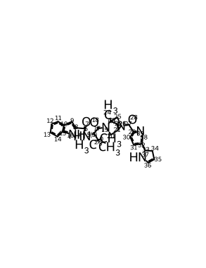 CC(C)(C)[C@H](NC(=O)c1cc2ccccc2[nH]1)C(=O)N1CC2C[C@@]1(C)CN2C(=O)c1ccc(C2CC=CN2)cn1